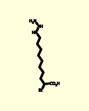 CCC(CCCCCCCCNNN)C(=O)O